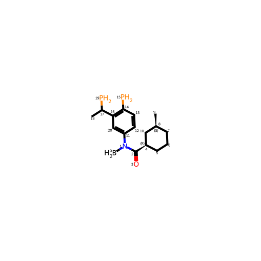 BN(C(=O)[C@@H]1CCC[C@H](C)C1)c1ccc(P)c(C(C)P)c1